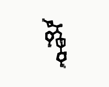 O=C(N(CC12CCC(c3ccc(C(F)(F)F)cn3)(CC1)CC2)c1cccc(Br)c1)C12CC(F)(C1)C2